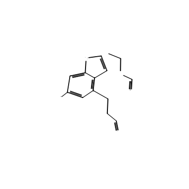 CCOC=O.O=CCCc1cc(Cl)cc2[nH]ccc12